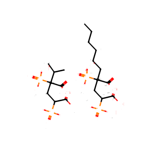 CC(C)C(CC(C(=O)O)P(=O)(O)O)(C(=O)O)P(=O)(O)O.CCCCCCC(CC(C(=O)O)P(=O)(O)O)(C(=O)O)P(=O)(O)O